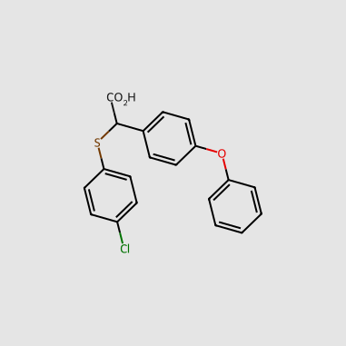 O=C(O)C(Sc1ccc(Cl)cc1)c1ccc(Oc2ccccc2)cc1